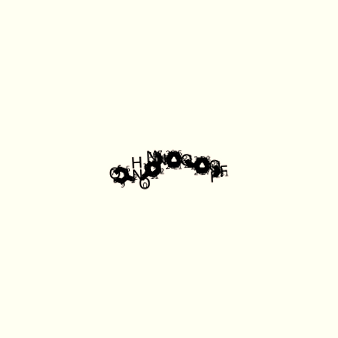 O=C(NCC1CCOCC1)c1ccc2c(c1)ncn2-c1ccc(OCc2ccc(OC(F)F)cc2)cc1